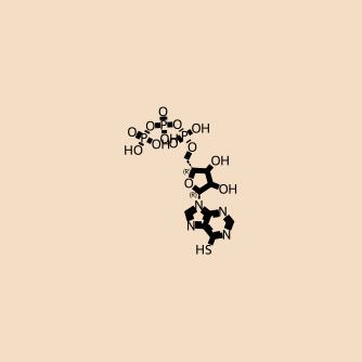 O=P(O)(O)OP(=O)(O)OP(=O)(O)OC[C@H]1O[C@@H](n2cnc3c(S)ncnc32)C(O)C1O